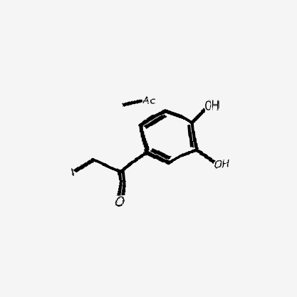 CC(C)=O.O=C(CI)c1ccc(O)c(O)c1